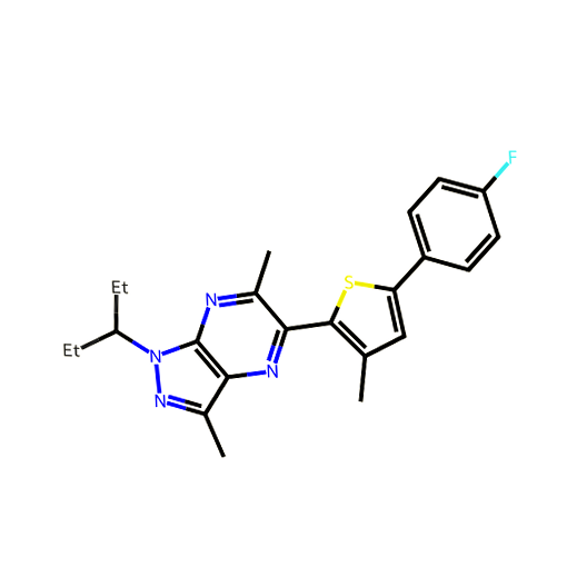 CCC(CC)n1nc(C)c2nc(-c3sc(-c4ccc(F)cc4)cc3C)c(C)nc21